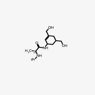 CC(C)N[C@@H](C)C(=O)NC1C=C(CO)CC(CO)C1